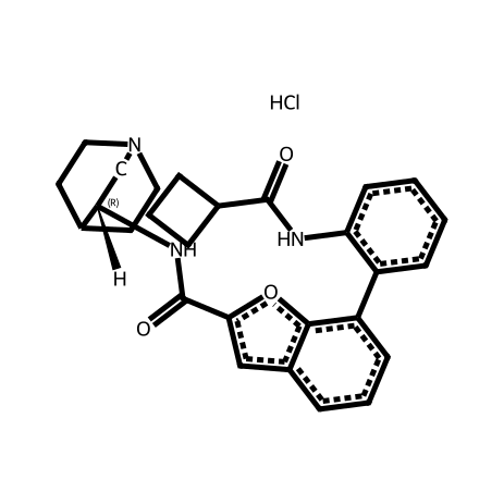 Cl.O=C(N[C@H]1CN2CCC1CC2)c1cc2cccc(-c3ccccc3NC(=O)C3CCC3)c2o1